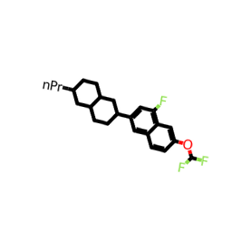 CCCC1CCC2CC(c3cc(F)c4cc(OC(F)F)ccc4c3)CCC2C1